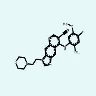 COc1cc(Nc2c(C#N)cnc3cc4c(cc23)ncn4CCN2CCOCC2)c(C)cc1Cl